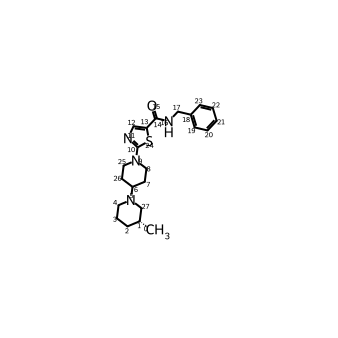 C[C@@H]1CCCN(C2CCN(c3ncc(C(=O)NCc4ccccc4)s3)CC2)C1